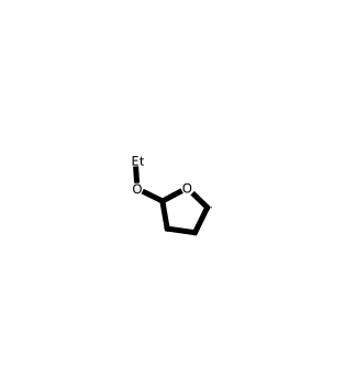 CCOC1CC[CH]O1